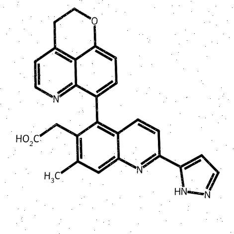 Cc1cc2nc(-c3ccn[nH]3)ccc2c(-c2ccc3c4c(ccnc24)CCO3)c1CC(=O)O